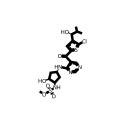 COS(=O)(=O)N[C@@H]1C[C@@H](Nc2ncncc2C(=O)c2cc([C@H](O)C(C)C)c(Cl)s2)C[C@@H]1O